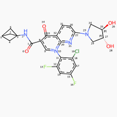 O=C(NC12CC(C1)C2)c1cn(-c2c(F)cc(F)cc2Cl)c2nc(N3C[C@@H](O)[C@H](O)C3)ccc2c1=O